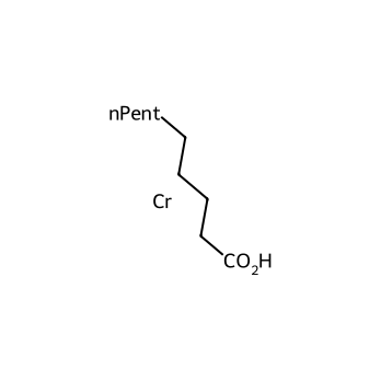 CCCCCCCCCC(=O)O.[Cr]